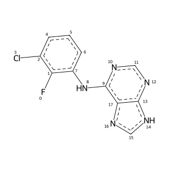 Fc1c(Cl)cccc1Nc1ncnc2[nH]cnc12